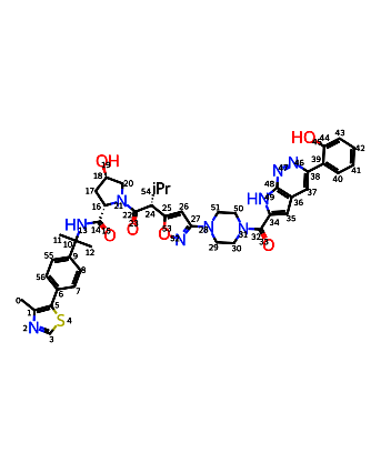 Cc1ncsc1-c1ccc(C(C)(C)NC(=O)[C@@H]2C[C@@H](O)CN2C(=O)[C@@H](c2cc(N3CCN(C(=O)c4cc5cc(-c6ccccc6O)nnc5[nH]4)CC3)no2)C(C)C)cc1